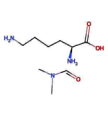 CN(C)C=O.NCCCC[C@H](N)C(=O)O